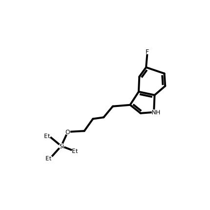 CC[Si](CC)(CC)OCCCCc1c[nH]c2ccc(F)cc12